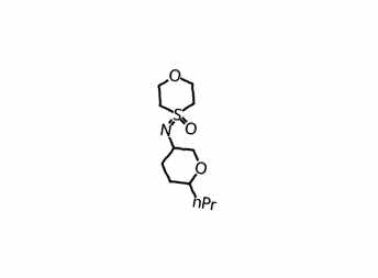 CCCC1CCC(N=S2(=O)CCOCC2)CO1